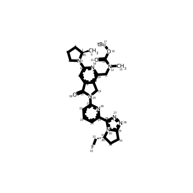 C[C@@H]1CCCN1c1cc2c(c(CN(C)C(=O)OC(C)(C)C)n1)CN(c1cccc(-c3nnc4n3[C@@H](CF)CC4)n1)C2=O